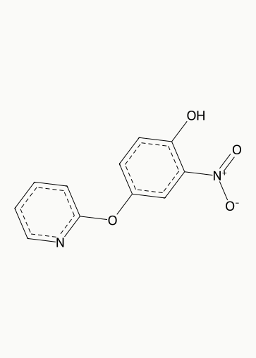 O=[N+]([O-])c1cc(Oc2ccccn2)ccc1O